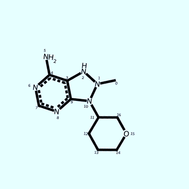 CN1Nc2c(N)ncnc2N1C1CCCOC1